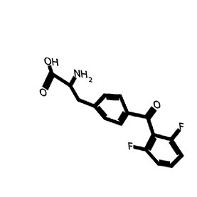 NC(Cc1ccc(C(=O)c2c(F)cccc2F)cc1)C(=O)O